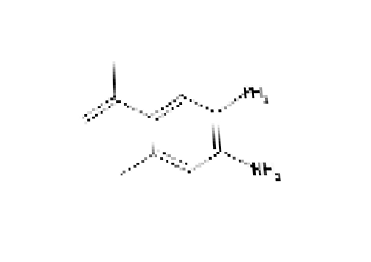 C=C(C)c1cc(P)c(N)cc1C